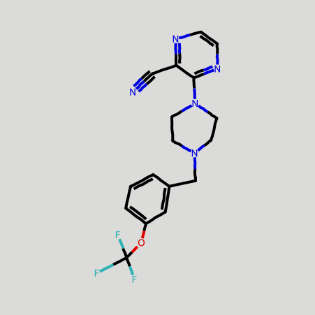 N#Cc1nccnc1N1CCN(Cc2cccc(OC(F)(F)F)c2)CC1